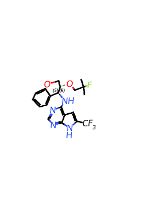 CC(C)(F)CO[C@H]1COc2ccccc2[C@@H]1Nc1ncnc2[nH]c(C(F)(F)F)cc12